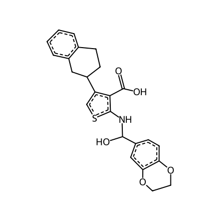 O=C(O)c1c(C2CCc3ccccc3C2)csc1NC(O)c1ccc2c(c1)OCCO2